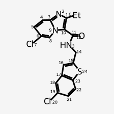 CCc1nc2ccc(Cl)cn2c1C(=O)NCc1cc2cc(Cl)ccc2s1